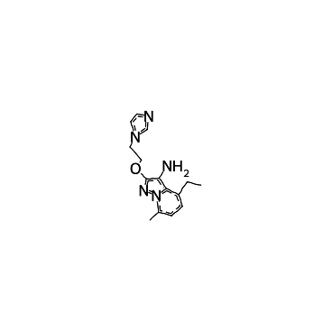 CCc1ccc(C)n2nc(OCCn3ccnc3)c(N)c12